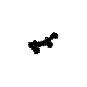 O=C(Nc1ccc(N2CCC(C(C(=O)OCCOC3CCCCO3)c3ccccc3)CC2)cc1)c1ccccc1-c1ccc(C(F)(F)F)cc1